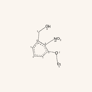 CCOc1cccc(CO)c1[N+](=O)[O-]